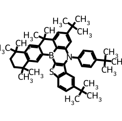 CC(C)(C)c1ccc(N2c3cc(C(C)(C)C)cc4c3B(c3cc5c(cc3C4(C)C)C(C)(C)CCC5(C)C)c3sc4ccc(C(C)(C)C)cc4c32)cc1